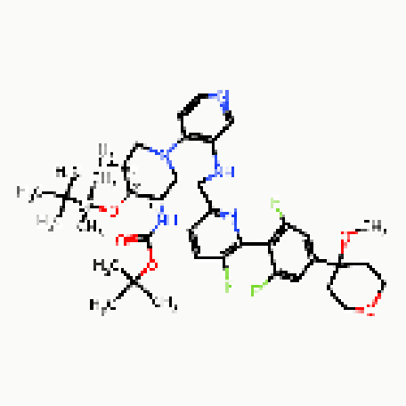 COC1(c2cc(F)c(-c3nc(CNc4cnccc4N4C[C@H](C)[C@@H](O[Si](C)(C)C(C)(C)C)[C@H](NC(=O)OC(C)(C)C)C4)ccc3F)c(F)c2)CCOCC1